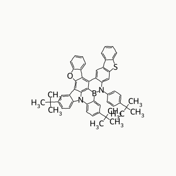 CC(C)(C)c1ccc(N2B3c4cc(C(C)(C)C)ccc4-n4c5ccc(C(C)(C)C)cc5c5c6oc7ccccc7c6c(c3c54)-c3cc4c(cc32)sc2ccccc24)cc1